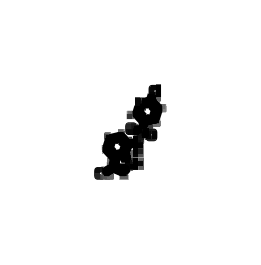 O=S(=O)(Nc1cccc2c(Cl)c[nH]c12)c1ccc(Cl)nc1